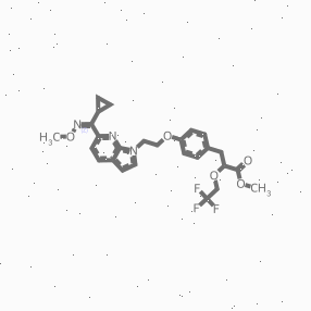 CO/N=C(\c1ccc2ccn(CCOc3ccc(CC(OCC(F)(F)F)C(=O)OC)cc3)c2n1)C1CC1